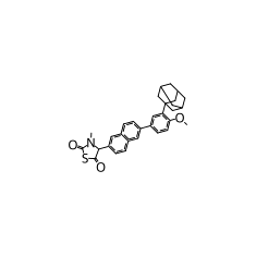 COc1ccc(-c2ccc3cc(C4C(=O)SC(=O)N4C)ccc3c2)cc1C12CC3CC(CC(C3)C1)C2